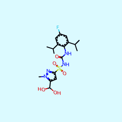 CC(C)c1cc(F)cc(C(C)C)c1NC(=O)NS(=O)(=O)c1cc(C(O)O)n(C)n1